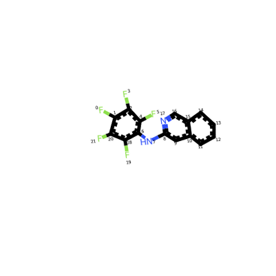 Fc1c(F)c(F)c(Nc2cc3ccccc3cn2)c(F)c1F